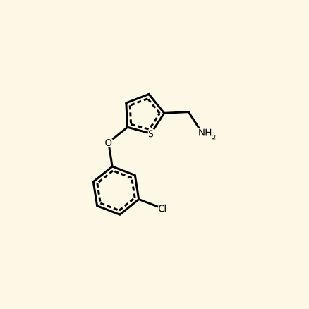 NCc1ccc(Oc2cccc(Cl)c2)s1